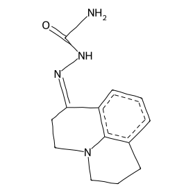 NC(=O)N/N=C1/CCN2CCCc3cccc1c32